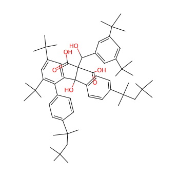 CC(C)(C)CC(C)(C)c1ccc(-c2c(C(C)(C)C)cc(C(C)(C)C)cc2C(O)(c2ccc(C(C)(C)CC(C)(C)C)cc2)C(C(=O)O)(C(=O)O)C(O)c2cc(C(C)(C)C)cc(C(C)(C)C)c2)cc1